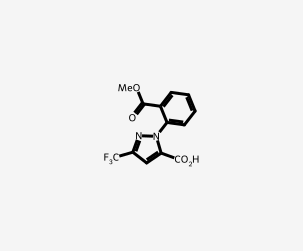 COC(=O)c1ccccc1-n1nc(C(F)(F)F)cc1C(=O)O